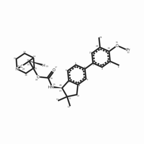 Cc1cc(-c2ccc3c(c2)CC(C)(C)[C@H]3NC(=O)O[C@@H]2CN3CCC2CC3)cc(C)c1OC(C)C